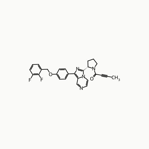 CC#CC(=O)N1CCC[C@H]1c1nc(-c2ccc(OCc3cccc(F)c3F)cc2)c2cnccn12